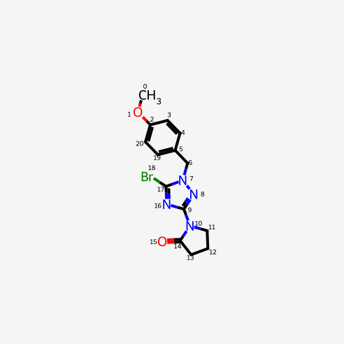 COc1ccc(Cn2nc(N3CCCC3=O)nc2Br)cc1